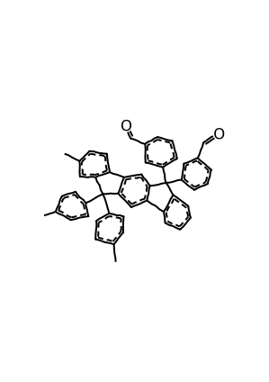 Cc1ccc(C2(c3ccc(C)cc3)c3cc(C)ccc3-c3cc4c(cc32)-c2ccccc2C4(c2cccc(C=O)c2)c2cccc(C=O)c2)cc1